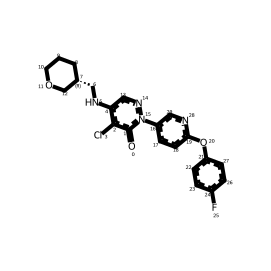 O=c1c(Cl)c(NC[C@H]2CCCOC2)cnn1-c1ccc(Oc2ccc(F)cc2)nc1